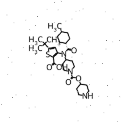 CC(C)(C)c1cc(N(C(=O)[C@H]2CC[C@H](C)CC2)C2CCN(C(=O)OC3CCNCC3)CC2)c(C(=O)O)s1